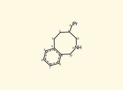 CC(C)C1CCc2ccccc2CNC1